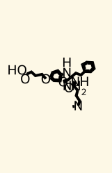 CN(C)CCCC(=O)NC(CCc1ccccc1)(Nc1ccc(OCCCC(=O)O)cc1)C(N)=O